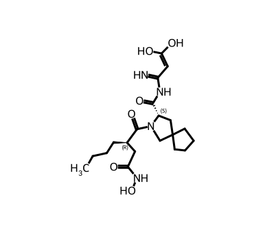 CCCC[C@H](CC(=O)NO)C(=O)N1CC2(CCCC2)C[C@H]1C(=O)NC(=N)C=C(O)O